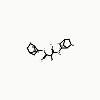 CC(C(=O)OC1CC2CCC1C2)C(=O)OC1CC2CCC1C2